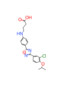 CC(C)Oc1ccc(-c2noc(-c3ccc(NCCCC(=O)O)cc3)n2)cc1Cl